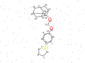 c1cc([SH]2CCCC2)ccc1OCOC1C2CC3CC(C2)CC1C3